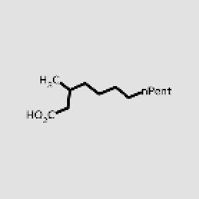 CCCCCCCCCC(C)CC(=O)O